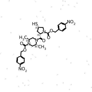 C[C@@H]1CN(C(=O)OCc2ccc([N+](=O)[O-])cc2)[C@@H](C)CN1C(=O)[C@@H]1C[C@H](S)CN1C(=O)OCc1ccc([N+](=O)[O-])cc1